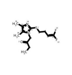 CCC(=O)Cn1c(SCCC=C(F)F)nc(C)c1C